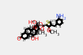 COc1c(Cc2cccc(N)c2)csc1[C@@H]1O[C@@H]2C[C@H]3[C@@H]4CCC5=CC(=O)C=C[C@]5(C)[C@H]4[C@@H](O)C[C@]3(C)[C@]2(C(=O)CO)O1